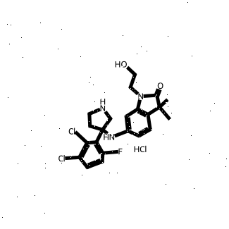 CC1(C)C(=O)N(CCO)c2cc(NC3(c4c(F)ccc(Cl)c4Cl)CCNC3)ccc21.Cl